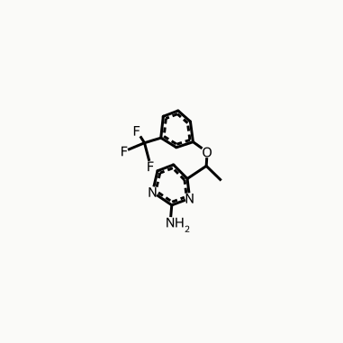 CC(Oc1cccc(C(F)(F)F)c1)c1ccnc(N)n1